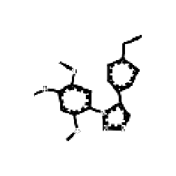 CCc1ccc(-c2cnnn2-c2cc(OC)c(OC)cc2OC)cc1